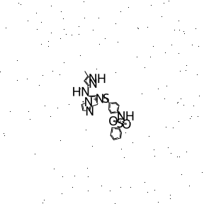 Cc1cc(NC2=CN(Sc3ccc(NS(=O)(=O)c4ccccc4)cc3)CC3=NC=C[N+]23)n[nH]1